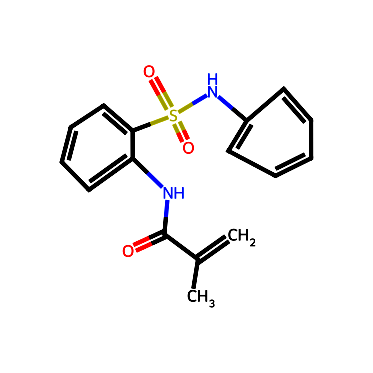 C=C(C)C(=O)Nc1ccccc1S(=O)(=O)Nc1ccccc1